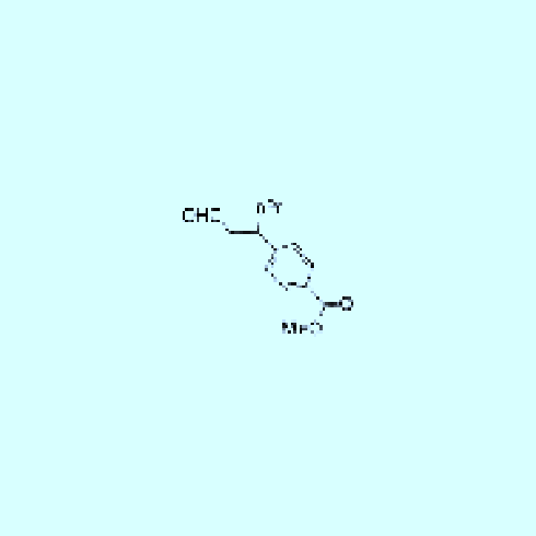 CCCC(CC=O)c1ccc(C(=O)OC)cc1